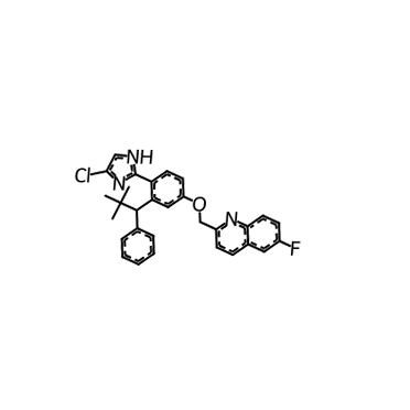 CC(C)(C)C(c1ccccc1)c1cc(OCc2ccc3cc(F)ccc3n2)ccc1-c1nc(Cl)c[nH]1